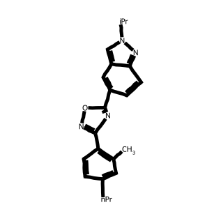 CCCc1ccc(-c2noc(-c3ccc4nn(C(C)C)cc4c3)n2)c(C)c1